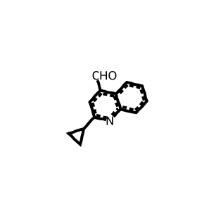 O=Cc1cc(C2CC2)nc2ccccc12